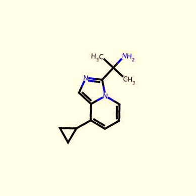 CC(C)(N)c1ncc2c(C3CC3)cccn12